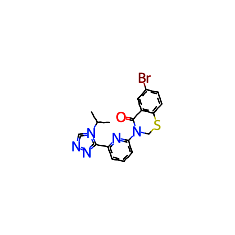 CC(C)n1cnnc1-c1cccc(N2CSc3ccc(Br)cc3C2=O)n1